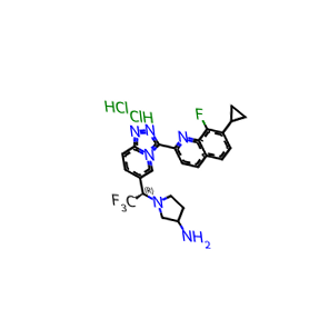 Cl.Cl.NC1CCN([C@H](c2ccc3nnc(-c4ccc5ccc(C6CC6)c(F)c5n4)n3c2)C(F)(F)F)C1